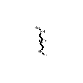 CC(C)(C)NCCCCNC(C)(C)C.[TeH2]